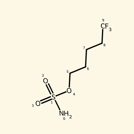 NS(=O)(=O)OCCCCC(F)(F)F